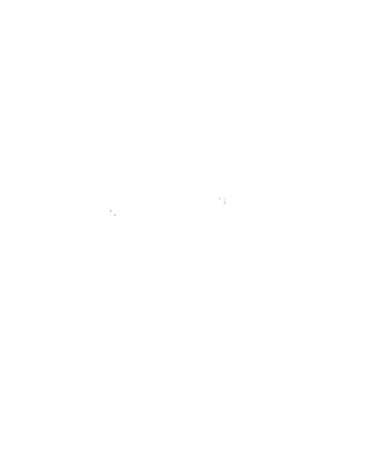 Cc1ccc(N(c2ccc3c4ccccc4n(-c4ccc(C)c(C)c4)c3c2)c2cccc3ccccc23)cc1